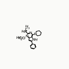 CNc1nc(N2CCCCC2)c2[nH]c(-c3ccccc3)cc2n1.Cl.O